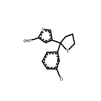 O=Cc1cc(C2(c3cccc(Cl)c3)CCCS2)cs1